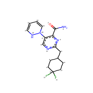 NC(=O)c1nc(CC2CCC(F)(F)CC2)ncc1N1C=CC=CN1